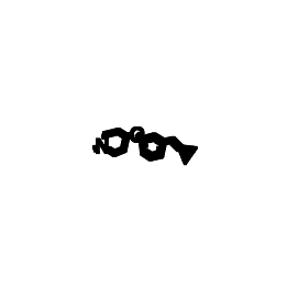 CN1CCC(Oc2cccc(C=C3CC3)c2)CC1